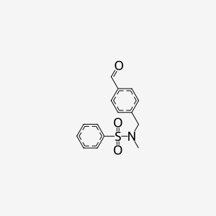 CN(Cc1ccc(C=O)cc1)S(=O)(=O)c1ccccc1